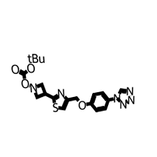 CC(C)(C)OC(=O)ON1CC(c2nc(COc3ccc(-n4cnnn4)cc3)cs2)C1